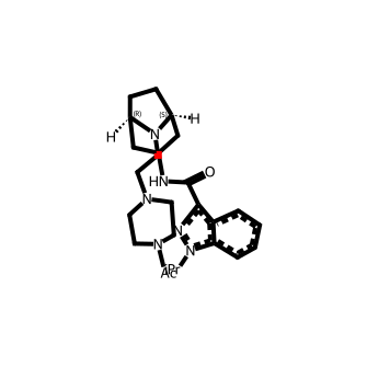 CC(=O)N1CCN(CCN2[C@@H]3CC[C@H]2CC(NC(=O)c2nn(C(C)C)c4ccccc24)C3)CC1